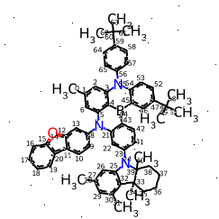 Cc1cc2c3c(c1)N(c1ccc4c(c1)oc1ccccc14)c1cc(N4c5cc(C)cc(C)c5C5(C)CCCCC45C)ccc1B3c1cc(C(C)(C)C)ccc1N2c1ccc(C(C)(C)C)cc1